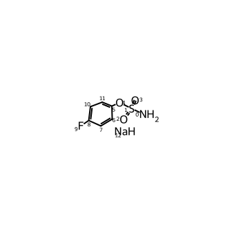 NS(=O)(=O)Oc1ccc(F)cc1.[NaH]